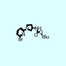 CC(C)(C)OC(=O)N[C@@H]1CCN(c2cccc(Br)n2)C1